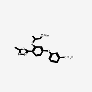 COCC(C)Oc1cc(Oc2cccc(C(=O)O)c2)ccc1-c1nnc(C)o1